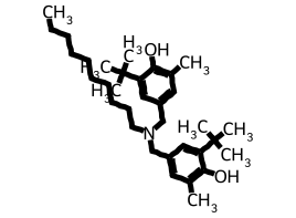 CCCCCCCCCCN(Cc1cc(C)c(O)c(C(C)(C)C)c1)Cc1cc(C)c(O)c(C(C)(C)C)c1